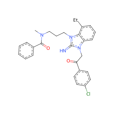 CCc1cccc2c1n(CCCN(C)C(=O)c1ccccc1)c(=N)n2CC(=O)c1ccc(Cl)cc1